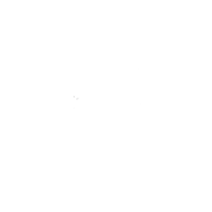 CCCCCCCCCC(=O)OS(c1ccccc1)(c1ccccc1)c1ccccc1